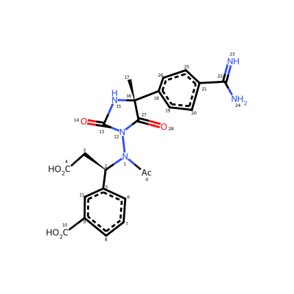 CC(=O)N([C@H](CC(=O)O)c1cccc(C(=O)O)c1)N1C(=O)N[C@](C)(c2ccc(C(=N)N)cc2)C1=O